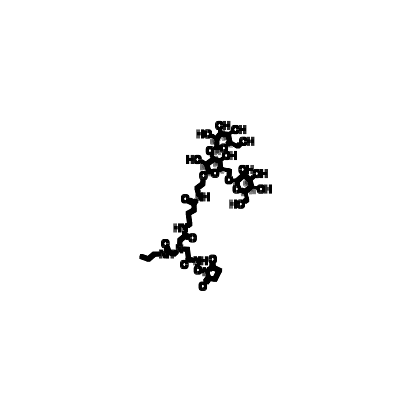 CCCNC(=O)CN(CC(=O)NCCCC(=O)NCCO[C@H]1O[C@H](CO[C@H]2O[C@H](CO)[C@@H](O)[C@H](O)[C@@H]2O)[C@@H](O)[C@H](O[C@H]2O[C@H](CO)[C@@H](O)[C@H](O)[C@@H]2O)[C@@H]1O)CC(=O)NON1C(=O)CCC1=O